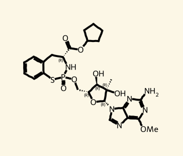 COc1nc(N)nc2c1ncn2[C@@H]1O[C@H](COP2(=O)N[C@@H](C(=O)OC3CCCC3)Cc3ccccc3S2)[C@@H](O)[C@@]1(C)O